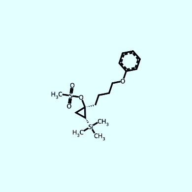 C[Si](C)(C)[C@@H]1C[C@@]1(CCCCOc1ccccc1)OS(C)(=O)=O